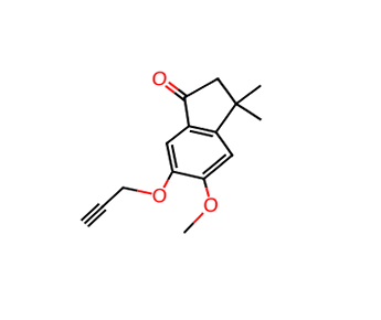 C#CCOc1cc2c(cc1OC)C(C)(C)CC2=O